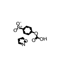 O=C(O)Oc1ccc([N+](=O)[O-])cc1.c1cnoc1